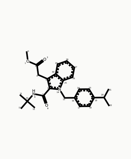 COC(=O)Cc1c(C(=O)NC(C)(C)C)n(Cc2ccc(C(C)C)cc2)c2ccccc12